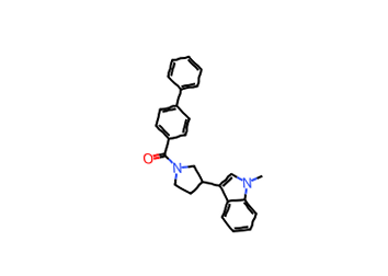 Cn1cc(C2CCN(C(=O)c3ccc(-c4ccccc4)cc3)C2)c2ccccc21